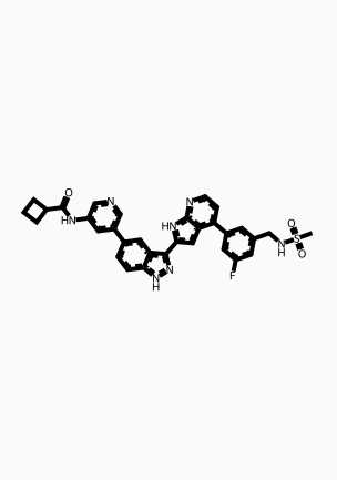 CS(=O)(=O)NCc1cc(F)cc(-c2ccnc3[nH]c(-c4n[nH]c5ccc(-c6cncc(NC(=O)C7CCC7)c6)cc45)cc23)c1